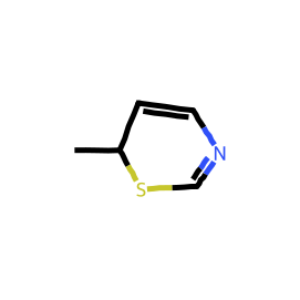 CC1C=CN=CS1